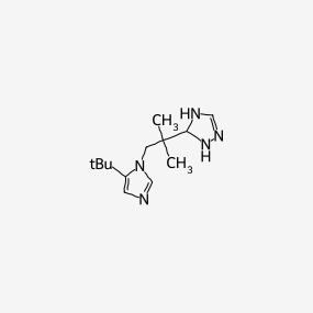 CC(C)(C)c1cncn1CC(C)(C)C1NC=NN1